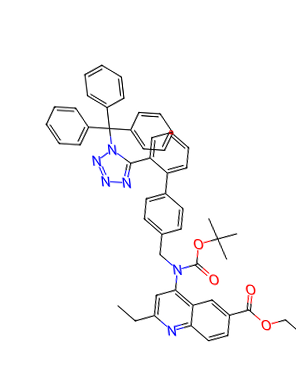 CCOC(=O)c1ccc2nc(CC)cc(N(Cc3ccc(-c4ccccc4-c4nnnn4C(c4ccccc4)(c4ccccc4)c4ccccc4)cc3)C(=O)OC(C)(C)C)c2c1